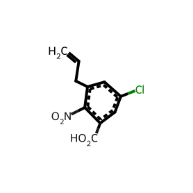 C=CCc1cc(Cl)cc(C(=O)O)c1[N+](=O)[O-]